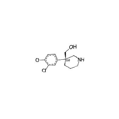 OC[C@]1(c2ccc(Cl)c(Cl)c2)CCCNC1